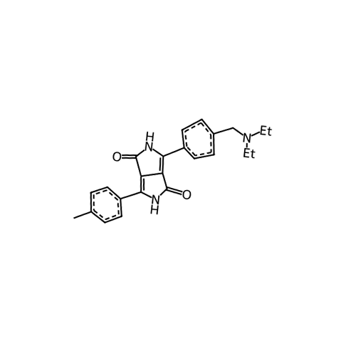 CCN(CC)Cc1ccc(C2=C3C(=O)NC(c4ccc(C)cc4)=C3C(=O)N2)cc1